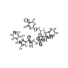 Cc1cc(OCCCc2c(C(=O)NS(=O)(=O)CCNC(=O)c3cc(C)n(Cc4ccncc4)c3C)[nH]c3ccccc23)cc(C)c1Cl